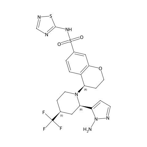 Nn1nccc1[C@H]1C[C@@H](C(F)(F)F)CCN1[C@@H]1CCOc2cc(S(=O)(=O)Nc3ncns3)ccc21